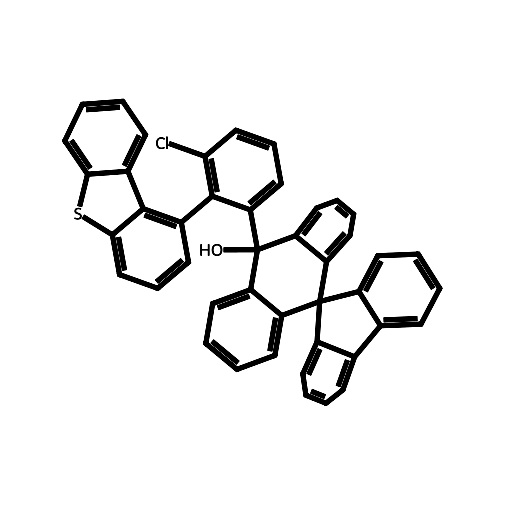 OC1(c2cccc(Cl)c2-c2cccc3sc4ccccc4c23)c2ccccc2C2(c3ccccc3-c3ccccc32)c2ccccc21